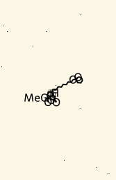 COC(=O)[C@@]12CC[C@H](C=CCCCCCCOC3CCCCO3)[C@H]1CC(=O)O2